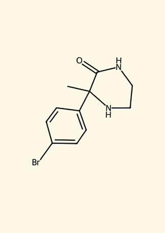 CC1(c2ccc(Br)cc2)NCCNC1=O